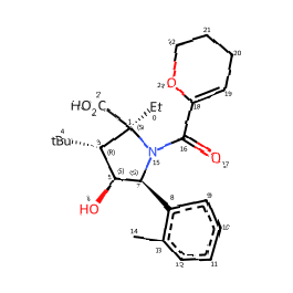 CC[C@@]1(C(=O)O)[C@@H](C(C)(C)C)[C@H](O)[C@H](c2ccccc2C)N1C(=O)C1=CCCCO1